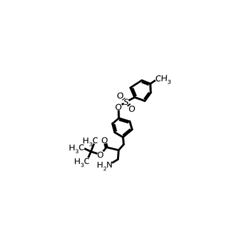 Cc1ccc(S(=O)(=O)Oc2ccc(CC(CN)C(=O)OC(C)(C)C)cc2)cc1